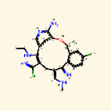 CCN/C1=C(\C(=N)Br)C/C(=C/NC)C(=N)c2ccc(F)cc2[C@@H](C)Oc2cc1cnc2N